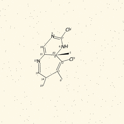 CC1=C(Cl)[C@@]2(C)NC(Cl)=NC=C2N=CC1C